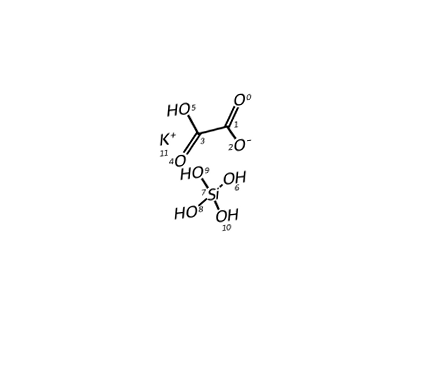 O=C([O-])C(=O)O.O[Si](O)(O)O.[K+]